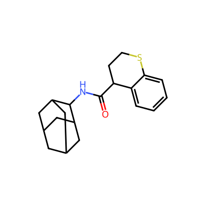 O=C(NC1C2CC3CC(C2)CC1C3)C1CCSc2ccccc21